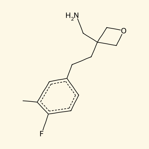 Cc1cc(CCC2(CN)COC2)ccc1F